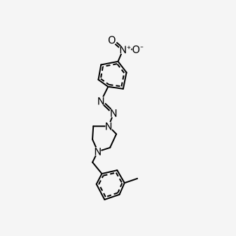 Cc1cccc(CN2CCN(/N=N/c3ccc([N+](=O)[O-])cc3)CC2)c1